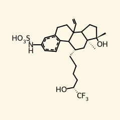 C=CC12CCc3cc(NS(=O)(=O)O)ccc3C1[C@@H](CCCC[C@@H](O)C(F)(F)F)C[C@@]1(C)C2CC[C@]1(C)O